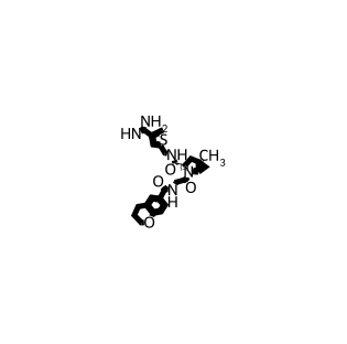 C[C@@]12CC1=[N+](C(=O)CNC(=O)c1ccc3c(c1)CCCO3)[C@H](C(=O)NCc1cc(C(=N)N)cs1)C2